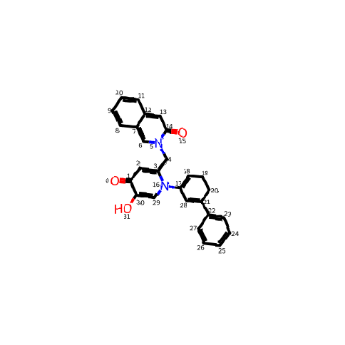 O=c1cc(Cn2cc3ccccc3cc2=O)n(C2=CCCC(c3ccccc3)=C2)cc1O